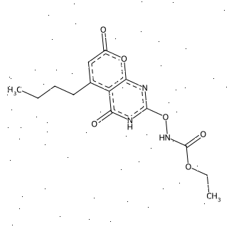 CCCCc1cc(=O)oc2nc(ONC(=O)OCC)[nH]c(=O)c12